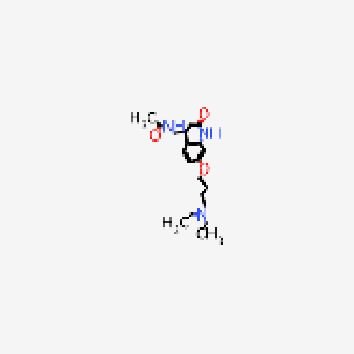 CCN(CC)CCCCOc1ccc2c(c1)NC(=O)CC2CNC(C)=O